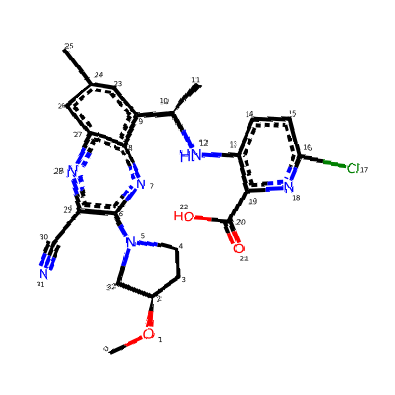 CO[C@@H]1CCN(c2nc3c([C@@H](C)Nc4ccc(Cl)nc4C(=O)O)cc(C)cc3nc2C#N)C1